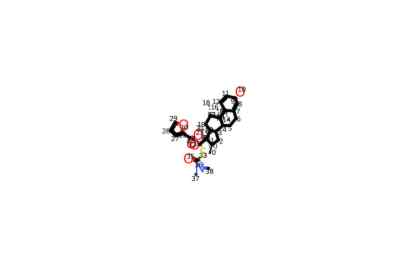 C[C@@H]1CC2C3CCC4=CC(=O)C=C[C@]4(C)[C@]3(C)[C@@H](C)C[C@]2(C)[C@@]1(OC(=O)c1ccco1)C(=O)SC(=O)N(C)C